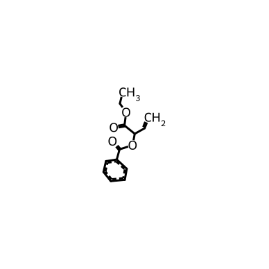 C=CC(OC(=O)c1ccccc1)C(=O)OCC